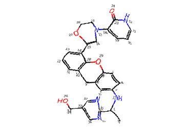 CC(Nc1ccc2c(c1)Cc1cccc(C3CN(c4ccc[nH]c4=O)CCO3)c1O2)c1ncc(CO)cn1